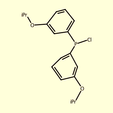 CC(C)Oc1cccc(P(Cl)c2cccc(OC(C)C)c2)c1